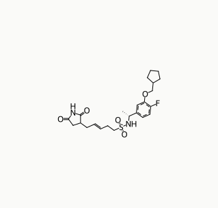 C[C@@H](NS(=O)(=O)CC/C=C/CC1CC(=O)NC1=O)c1ccc(F)c(OCC2CCCC2)c1